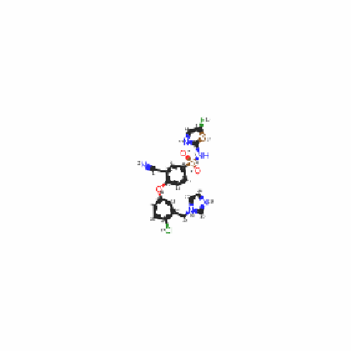 N#Cc1cc(S(=O)(=O)Nc2ncc(F)s2)ccc1Oc1ccc(Cl)c(Cn2ccnc2)c1